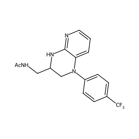 CC(=O)NCC1CN(c2ccc(C(F)(F)F)cc2)c2cccnc2N1